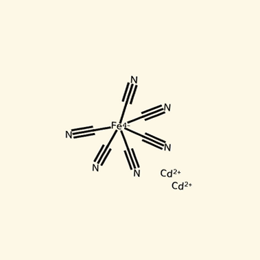 N#[C][Fe-4]([C]#N)([C]#N)([C]#N)([C]#N)[C]#N.[Cd+2].[Cd+2]